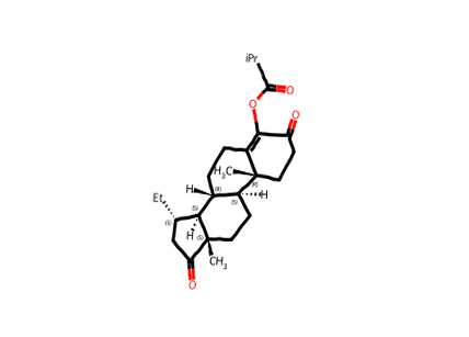 CC[C@H]1CC(=O)[C@@]2(C)CC[C@H]3[C@@H](CCC4=C(OC(=O)C(C)C)C(=O)CC[C@@]43C)[C@H]12